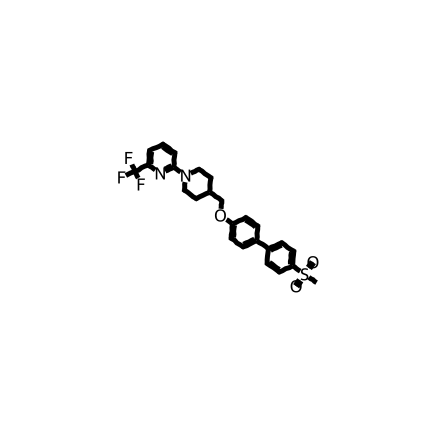 CS(=O)(=O)c1ccc(-c2ccc(OCC3CCN(c4cccc(C(F)(F)F)n4)CC3)cc2)cc1